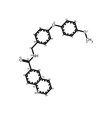 COc1ccc(Oc2ccc(CNC(=O)c3ccc4ncccc4c3)cc2)cc1